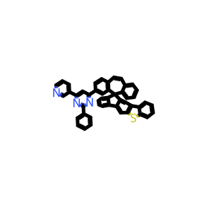 C1=Cc2ccc(-c3cc(-c4cccnc4)nc(-c4ccccc4)n3)cc2C2(c3ccccc31)c1ccccc1-c1cc3sc4ccccc4c3cc12